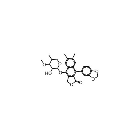 COC1C(C)COC(Oc2c3c(c(-c4ccc5c(c4)OCO5)c4cc(C)c(C)cc24)C(=O)OC3)C1O